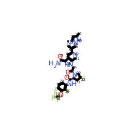 Cc1cc2ncc(-c3cc4c(C(N)=O)nn(CC(=O)N5C[C@H](F)C[C@H]5C(=O)Nc5cccc(OC(F)(F)F)c5F)c4cn3)cn2n1